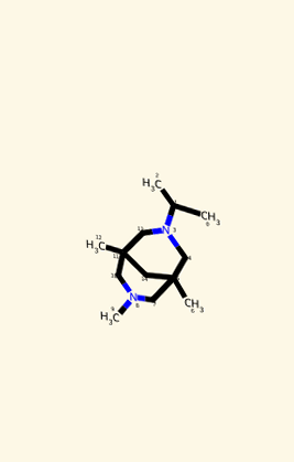 CC(C)N1CC2(C)CN(C)CC(C)(C1)C2